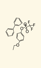 CCOc1ccc(OS(=O)(=O)C(F)(F)F)cc1.c1ccc(-c2ccccc2)cc1